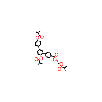 C=C(C)C(=O)OCCOC(=O)c1ccc(-c2cc(-c3ccc(OC(=O)C(=C)C)cc3)ccc2OC(=O)C(=C)C)cc1